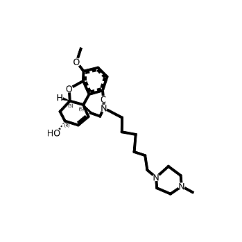 COc1ccc2c3c1O[C@H]1C[C@@H](O)C=C[C@@]31CCN(CCCCCCN1CCN(C)CC1)C2